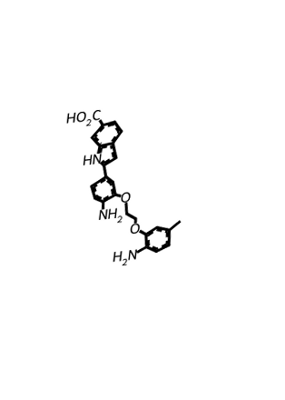 Cc1ccc(N)c(OCCOc2cc(-c3cc4ccc(C(=O)O)cc4[nH]3)ccc2N)c1